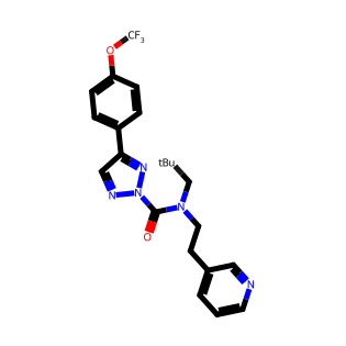 CC(C)(C)CN(CCc1cccnc1)C(=O)n1ncc(-c2ccc(OC(F)(F)F)cc2)n1